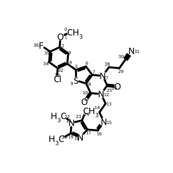 COc1cc(-c2cc3c(s2)c(=O)n(CC/N=C\c2nc(C)n(C)c2C)c(=O)n3CCC#N)c(Cl)cc1F